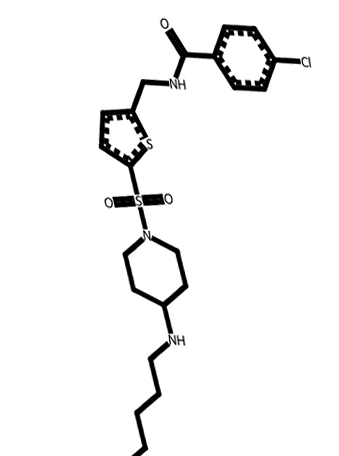 CCCCCNC1CCN(S(=O)(=O)c2ccc(CNC(=O)c3ccc(Cl)cc3)s2)CC1